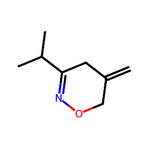 C=C1CON=C(C(C)C)C1